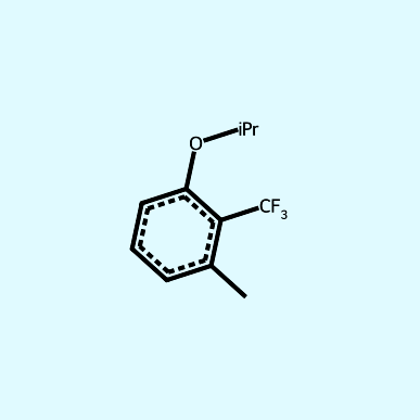 Cc1cccc(OC(C)C)c1C(F)(F)F